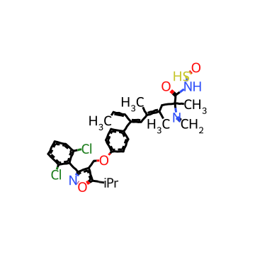 C=NC(C)(C/C(C)=C(C)/C=C(\C=C/C)c1ccc(OCc2c(-c3c(Cl)cccc3Cl)noc2C(C)C)cc1)C(=O)N[SH]=O